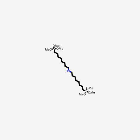 CO[Si](CCCCCCCCNCCCCCCCC[Si](OC)(OC)OC)(OC)OC